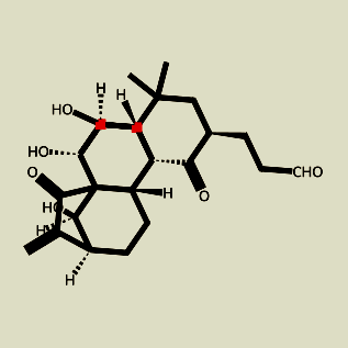 C=C1C(=O)C23[C@H](O)[C@H]1CC[C@H]2[C@@]12CO[C@@]3(O)[C@@H](O)[C@@H]1C(C)(C)C[C@@H](CCC=O)C2=O